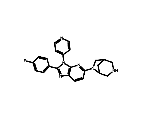 Fc1ccc(-c2nc3ccc(N4CC5CNCC4C5)nc3n2-c2ccncc2)cc1